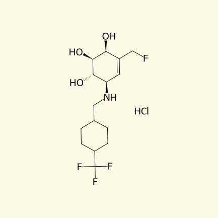 Cl.O[C@@H]1[C@@H](O)[C@@H](O)C(CF)=C[C@H]1NCC1CCC(C(F)(F)F)CC1